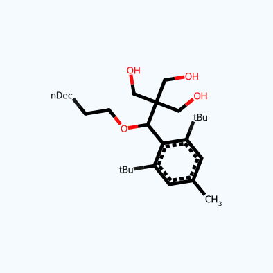 CCCCCCCCCCCCOC(c1c(C(C)(C)C)cc(C)cc1C(C)(C)C)C(CO)(CO)CO